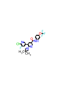 CC1(C)CN(c2ncc(C(=O)Nc3ccc(OC(F)(F)F)cc3)cc2-c2cnc(Cl)c(F)c2)C1